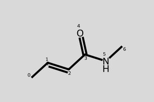 C/[C]=C/C(=O)NC